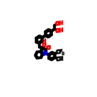 N#Cc1ccc(NC(=O)C(O)(Cc2cccc(-c3ccc(C(O)CO)cc3)c2)C2CCCCC2)cc1C(F)(F)F